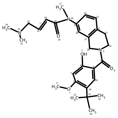 COc1cc(O)c(C(=O)N2CCc3ccc(N(C)C(=O)/C=C/CN(C)C)cc3C2)cc1C(C)(C)C